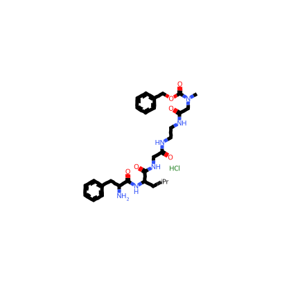 CC(C)CC(NC(=O)C(N)Cc1ccccc1)C(=O)NCC(=O)NCCNC(=O)CN(C)C(=O)OCc1ccccc1.Cl